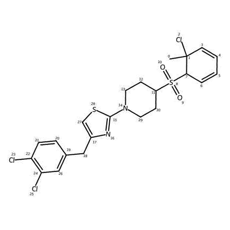 CC1(Cl)C=CC=CC1S(=O)(=O)C1CCN(c2nc(Cc3ccc(Cl)c(Cl)c3)cs2)CC1